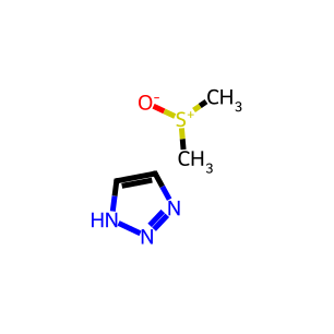 C[S+](C)[O-].c1c[nH]nn1